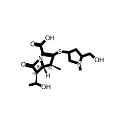 CC(O)[C@H]1C(=O)N2C(C(=O)O)=C(SC3CC(CO)N(C)C3)[C@@H](C)[C@H]12